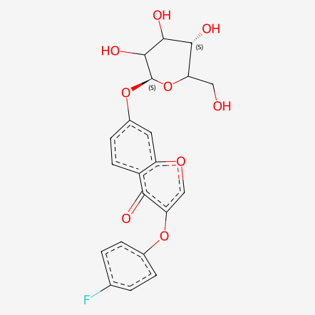 O=c1c(Oc2ccc(F)cc2)coc2cc(O[C@@H]3OC(CO)[C@@H](O)C(O)C3O)ccc12